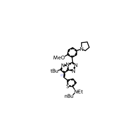 CCCCN(CC)c1ccc(/C=c2/c(C(C)(C)C)nn3c(-c4cc(N5CCCC5)ccc4OC)nnc23)s1